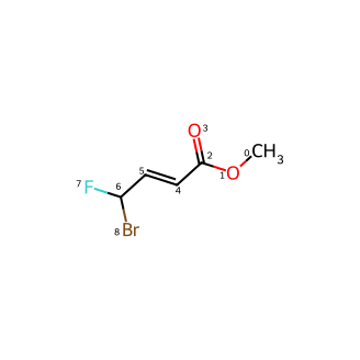 COC(=O)C=CC(F)Br